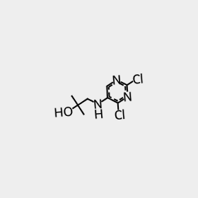 CC(C)(O)CNc1cnc(Cl)nc1Cl